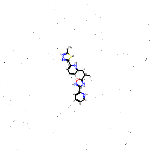 CC(C)c1nnc(-c2cccc(CC(C)c3nc(-c4ccccn4)no3)n2)s1